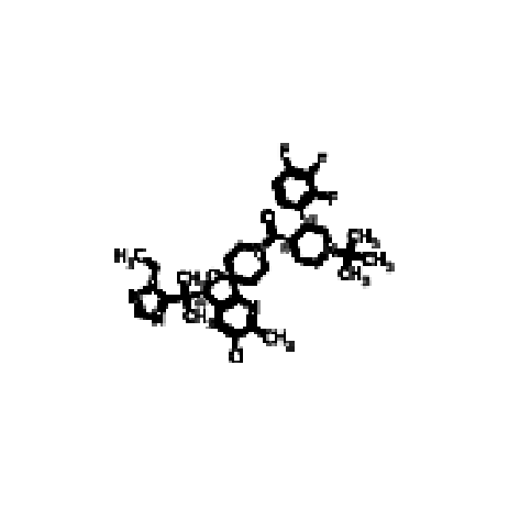 CCn1ncnc1C(C)(C)[C@H]1OC2(CCN(C(=O)[C@@H]3CCN(C(C)(C)C)C[C@H]3c3ccc(F)c(F)c3F)CC2)c2nc(C)c(Cl)cc21